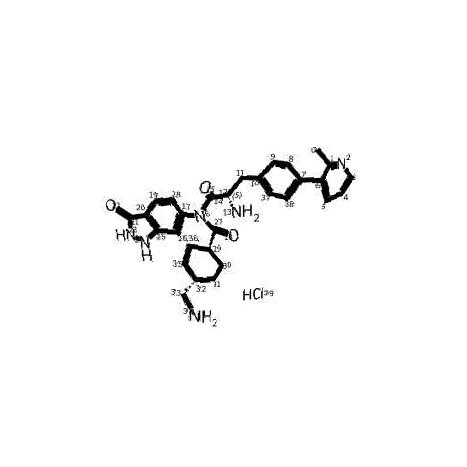 Cc1ncccc1-c1ccc(C[C@H](N)C(=O)N(c2ccc3c(=O)[nH][nH]c3c2)C(=O)[C@H]2CC[C@H](CN)CC2)cc1.Cl